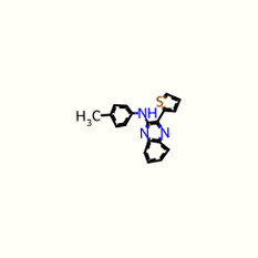 Cc1ccc(Nc2nc3ccccc3nc2-c2cccs2)cc1